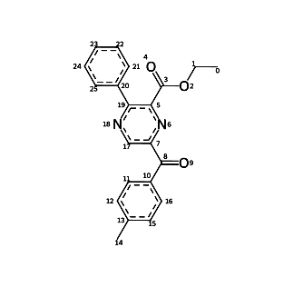 CCOC(=O)c1nc(C(=O)c2ccc(C)cc2)cnc1-c1ccccc1